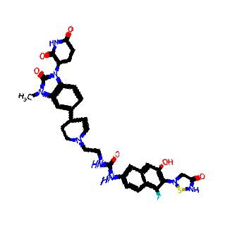 Cn1c(=O)n(C2CCC(=O)NC2=O)c2ccc(C3CCN(CCNC(=O)Nc4ccc5c(F)c(N6CC(=O)NS6)c(O)cc5c4)CC3)cc21